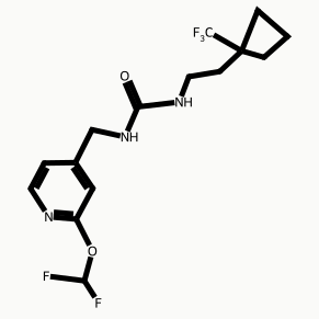 O=C(NCCC1(C(F)(F)F)CCC1)NCc1ccnc(OC(F)F)c1